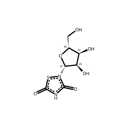 O=c1[nH]c(=O)n([C@@H]2O[C@H](CO)[C@@H](O)[C@H]2O)s1